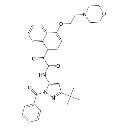 CC(C)(C)c1cc(NC(=O)C(=O)c2ccc(OCCN3CCOCC3)c3ccccc23)n(C(=O)c2ccccc2)n1